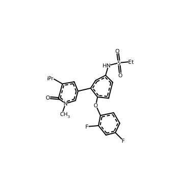 CCS(=O)(=O)Nc1ccc(Oc2ccc(F)cc2F)c(-c2cc(C(C)C)c(=O)n(C)c2)c1